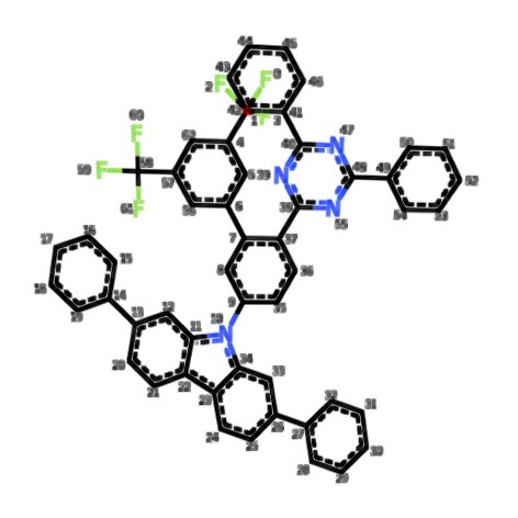 FC(F)(F)c1cc(-c2cc(-n3c4cc(-c5ccccc5)ccc4c4ccc(-c5ccccc5)cc43)ccc2-c2nc(-c3ccccc3)nc(-c3ccccc3)n2)cc(C(F)(F)F)c1